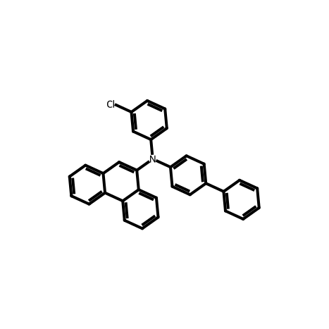 Clc1cccc(N(c2ccc(-c3ccccc3)cc2)c2cc3ccccc3c3ccccc23)c1